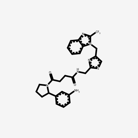 Nc1cccc(C2CCCN2C(=O)CCC(=O)NCc2nc(Cn3c(C(F)(F)F)nc4ccccc43)cs2)c1